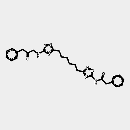 O=C(CNc1nnc(CCCCCCc2nnc(NC(=O)Cc3ccccc3)s2)s1)Cc1ccccc1